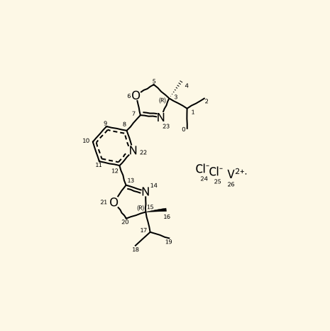 CC(C)[C@]1(C)COC(c2cccc(C3=N[C@](C)(C(C)C)CO3)n2)=N1.[Cl-].[Cl-].[V+2]